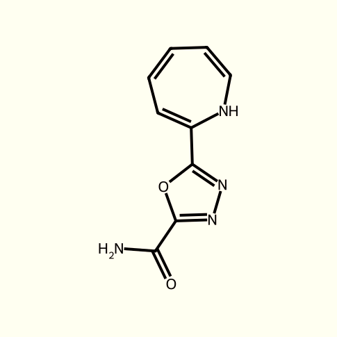 NC(=O)c1nnc(C2=CC=CC=CN2)o1